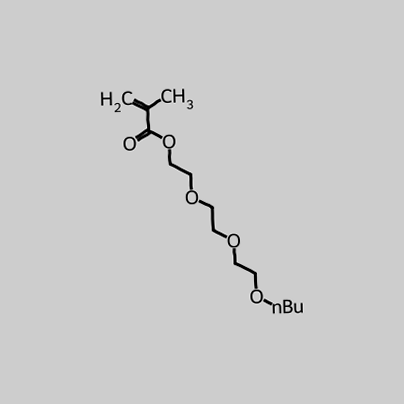 C=C(C)C(=O)OCCOCCOCCOCCCC